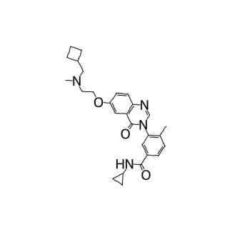 Cc1ccc(C(=O)NC2CC2)cc1-n1cnc2ccc(OCCN(C)CC3CCC3)cc2c1=O